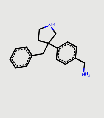 NCc1ccc(C2(Cc3ccccc3)CCNC2)cc1